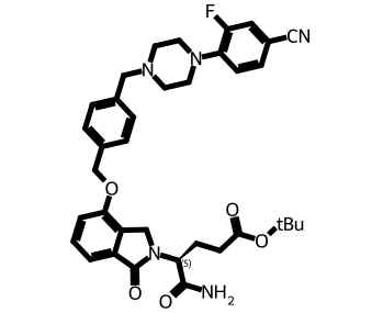 CC(C)(C)OC(=O)CC[C@@H](C(N)=O)N1Cc2c(OCc3ccc(CN4CCN(c5ccc(C#N)cc5F)CC4)cc3)cccc2C1=O